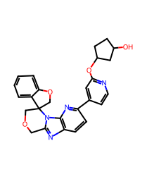 OC1CCC(Oc2cc(-c3ccc4nc5n(c4n3)C3(COC5)COc4ccccc43)ccn2)C1